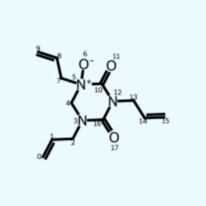 C=CCN1C[N+]([O-])(CC=C)C(=O)N(CC=C)C1=O